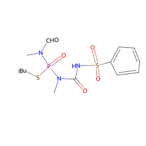 CCC(C)SP(=O)(N(C)C=O)N(C)C(=O)NS(=O)(=O)c1ccccc1